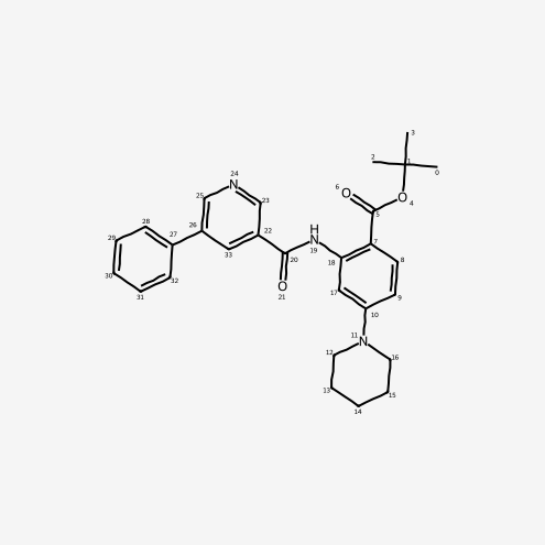 CC(C)(C)OC(=O)c1ccc(N2CCCCC2)cc1NC(=O)c1cncc(-c2ccccc2)c1